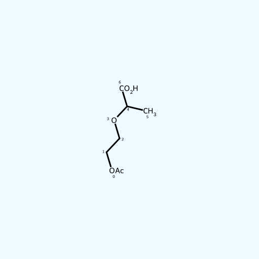 CC(=O)OCCOC(C)C(=O)O